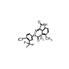 Cc1ccc2c(c1)C(=NN(C(N)=O)c1ccc(Cl)c(C(F)(F)F)c1)C(=O)N2